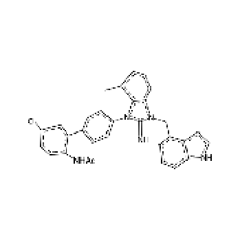 CC(=O)Nc1ccc(Cl)cc1-c1ccc(-n2c(=N)n(Cc3cccc4[nH]ccc34)c3cccc(C)c32)cc1